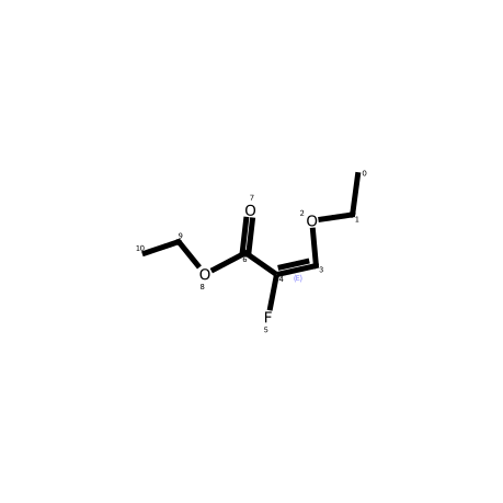 CCO/C=C(/F)C(=O)OCC